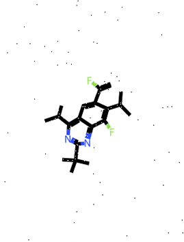 C=C(F)c1cc2c(C(C)C)nc(C(C)(C)C)nc2c(F)c1C(C)C